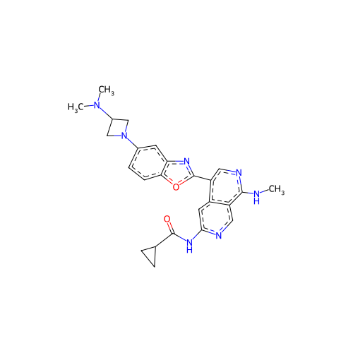 CNc1ncc(-c2nc3cc(N4CC(N(C)C)C4)ccc3o2)c2cc(NC(=O)C3CC3)ncc12